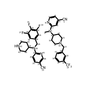 CN(c1cc(C#N)ccn1)C1CCN(Cc2cccc(C(F)(F)F)c2)CC1.N#Cc1ccc(N(Cc2cc(F)c(F)c(F)c2)C2CCNCC2)nc1